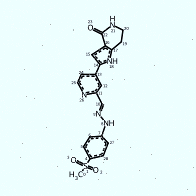 CS(=O)(=O)c1ccc(NN=Cc2cc(-c3cc4c([nH]3)CCNC4=O)ccn2)cc1